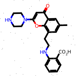 Cc1cc(CCNc2ccccc2C(=O)O)c2oc(N3CCNCC3)cc(=O)c2c1